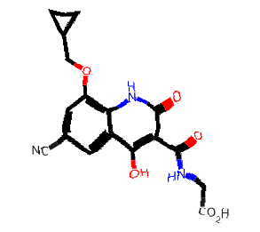 N#Cc1cc(OCC2CC2)c2[nH]c(=O)c(C(=O)NCC(=O)O)c(O)c2c1